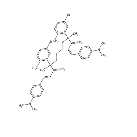 C=C(C=Cc1ccc(N(C)C)cc1)C(C)(CCCCC(C)(C(=C)C=Cc1ccc(N(C)C)cc1)c1cc(CC)ccc1C)c1cc(CC)ccc1C